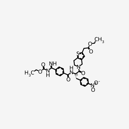 CCOC(=O)Cc1cc2c(s1)CCN(C(=O)[C@H](Cc1ccc([N+](=O)[O-])cc1)NC(=O)c1ccc(C(=N)NC(=O)OCC)cc1)C2